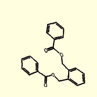 O=C(OCc1ccccc1COC(=O)c1ccccc1)c1ccccc1